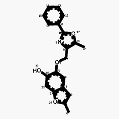 Cc1cc2cc(OCc3nc(-c4ccccc4)oc3C)c(O)cc2o1